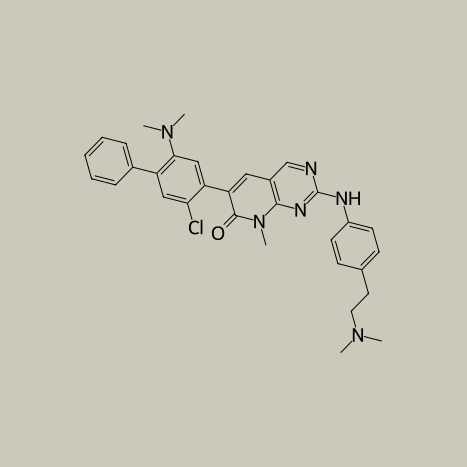 CN(C)CCc1ccc(Nc2ncc3cc(-c4cc(N(C)C)c(-c5ccccc5)cc4Cl)c(=O)n(C)c3n2)cc1